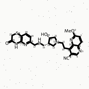 COc1ccc2ncc(C#N)c(CCN3C[C@H](CNCc4ccc5c(n4)NC(=O)CS5)[C@H](O)C3)c2n1